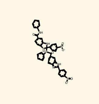 O=C(Nc1ccccc1)c1ccc2c(c1)NC(c1ccc([N+](=O)[O-])cc1)(N(C(=O)c1ccc3nc(-c4ccc([N+](=O)[O-])cc4)[nH]c3c1)c1ccccc1)N2